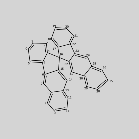 c1ccc2c(c1)-c1cc3ccccc3cc1C21c2ccccc2-c2cc3ccccc3cc21